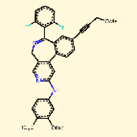 COCC#Cc1ccc2c(c1)C(c1c(F)cccc1F)=NCc1cnc(Nc3ccc(C(=O)O)c(OC)c3)cc1-2